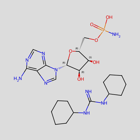 N=C(NC1CCCCC1)NC1CCCCC1.Nc1ncnc2c1ncn2[C@@H]1O[C@H](COP(N)(=O)O)[C@@H](O)[C@H]1O